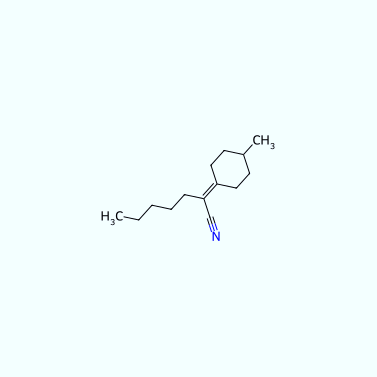 CCCCCC(C#N)=C1CCC(C)CC1